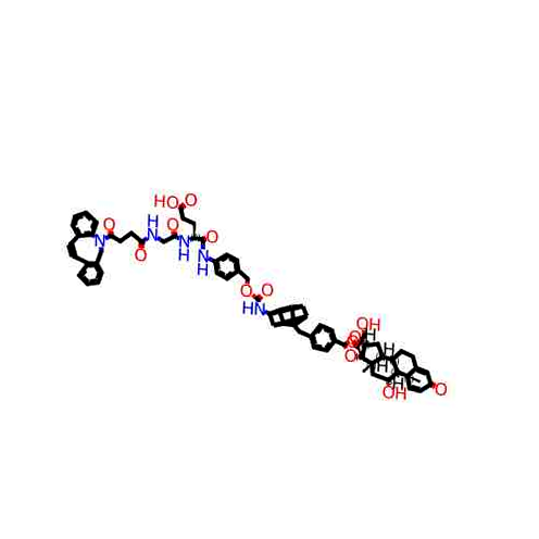 C[C@]12C=CC(=O)C=C1CC[C@@H]1[C@@H]2[C@@H](O)C[C@@]2(C)[C@H]1C[C@H]1OC(c3ccc(CC45C6C7C4C4C5C6C74NC(=O)OCc4ccc(NC(=O)[C@H](CCC(=O)O)NC(=O)CNC(=O)CCC(=O)N5Cc6ccccc6C#Cc6ccccc65)cc4)cc3)O[C@]12C(=O)CO